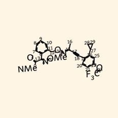 CNC(=O)/C(=N/OC)c1ccccc1CO/N=C(\C)C#Cc1ccc(OC(F)(F)F)cc1C1CC1